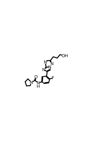 O=C(Nc1ccc(F)c(-c2cn3nc(CCCO)cnc3n2)c1)N1CCCC1